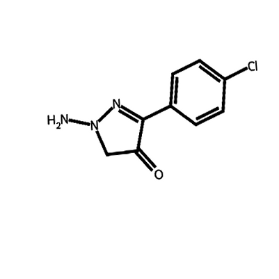 NN1CC(=O)C(c2ccc(Cl)cc2)=N1